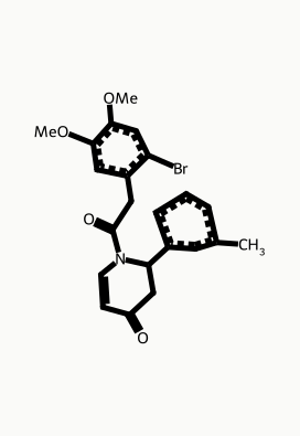 COc1cc(Br)c(CC(=O)N2C=CC(=O)CC2c2cccc(C)c2)cc1OC